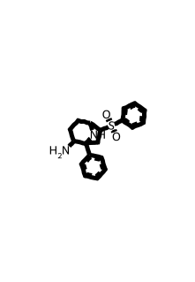 NC1CCC2NC1(c1ccccc1)CC2S(=O)(=O)c1ccccc1